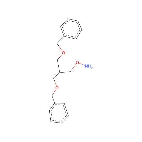 NOCC(COCc1ccccc1)COCc1ccccc1